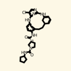 O=C(Nc1ccc2cc1CCC1C=CC=C(C1)Nc1ncc(Cl)c(n1)N2)[C@@H]1CCN(C(=O)NC2CCCC2)C1